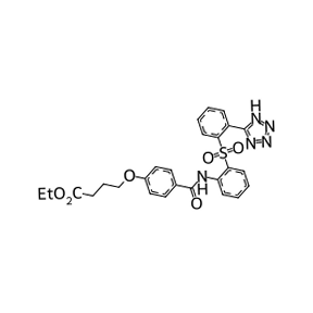 CCOC(=O)CCCOc1ccc(C(=O)Nc2ccccc2S(=O)(=O)c2ccccc2-c2nnn[nH]2)cc1